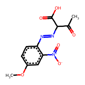 COc1ccc(/N=N/C(C(C)=O)C(=O)O)c([N+](=O)[O-])c1